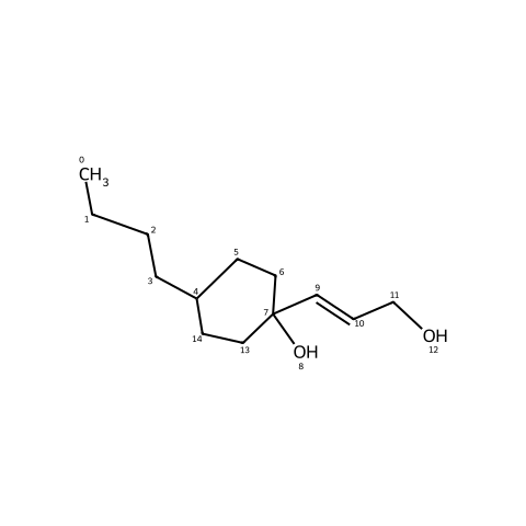 CCCCC1CCC(O)(C=CCO)CC1